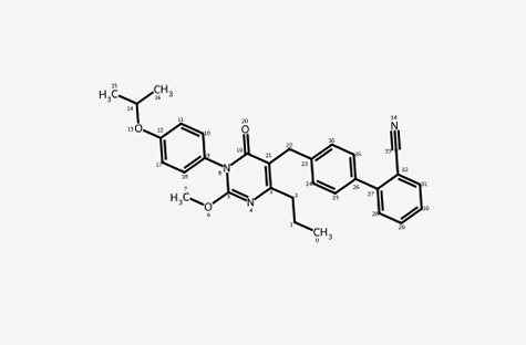 CCCc1nc(OC)n(-c2ccc(OC(C)C)cc2)c(=O)c1Cc1ccc(-c2ccccc2C#N)cc1